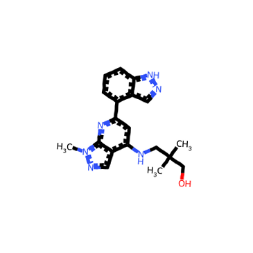 Cn1ncc2c(NCC(C)(C)CO)cc(-c3cccc4[nH]ncc34)nc21